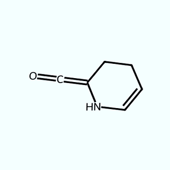 O=C=C1CCC=CN1